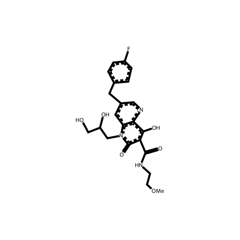 COCCNC(=O)c1c(O)c2ncc(Cc3ccc(F)cc3)cc2n(CC(O)CO)c1=O